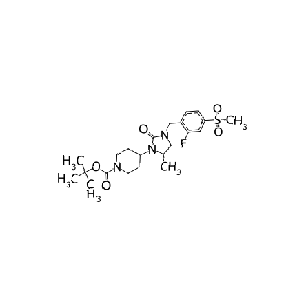 CC1CN(Cc2ccc(S(C)(=O)=O)cc2F)C(=O)N1C1CCN(C(=O)OC(C)(C)C)CC1